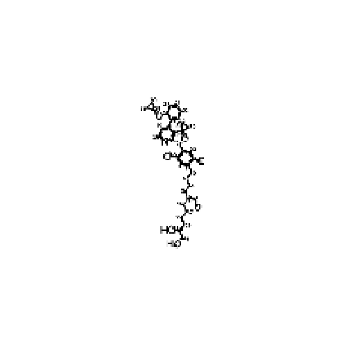 O=CN(CCCCc1cc(Cl)c(COC2(c3cnccc3-c3ccccc3OC3CC3)CC2)cc1Cl)CCCCC(O)CO